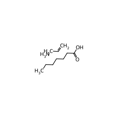 C=CC.CCCCCCC(=O)O.N